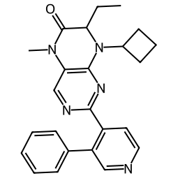 CCC1C(=O)N(C)c2cnc(-c3ccncc3-c3ccccc3)nc2N1C1CCC1